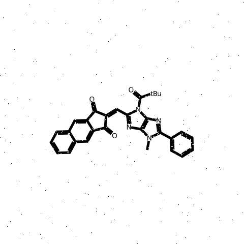 Cn1c(-c2ccccc2)nc2c1nc(C=C1C(=O)c3cc4ccccc4cc3C1=O)n2C(=O)C(C)(C)C